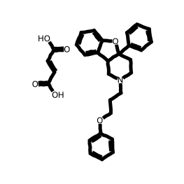 O=C(O)C=CC(=O)O.c1ccc(OCCCN2CCC3(c4ccccc4)Oc4ccccc4C3C2)cc1